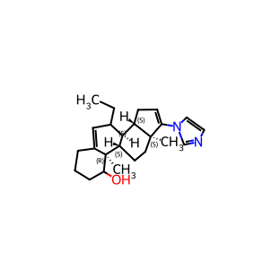 CCC1C=C2CCCC(O)[C@]2(C)[C@H]2CC[C@]3(C)C(n4ccnc4)=CC[C@H]3[C@H]12